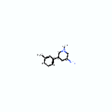 CC1=CC(C2CC(N)CN(C(C)C)C2)=CCC1